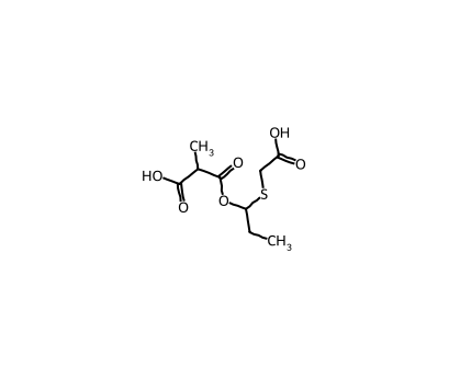 CCC(OC(=O)C(C)C(=O)O)SCC(=O)O